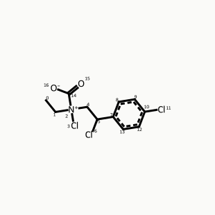 CC[N+](Cl)(CC(Cl)c1ccc(Cl)cc1)C(=O)[O-]